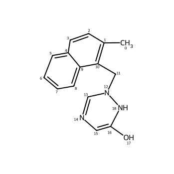 Cc1ccc2ccccc2c1CN1C=NC=C(O)N1